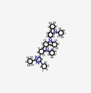 c1ccc(-c2cc(-c3ccc4c5ccc6c(c7ccccc7n6-c6ccc7c8ccccc8n(-c8ccccc8)c7c6)c5n(-c5ccccc5)c4c3)nc(-c3ccccc3)n2)cc1